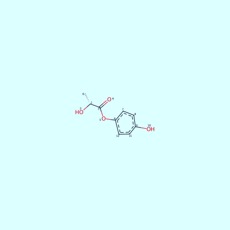 C[C@@H](O)C(=O)Oc1ccc(O)cc1